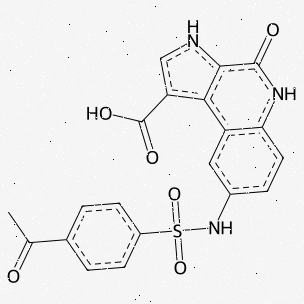 CC(=O)c1ccc(S(=O)(=O)Nc2ccc3[nH]c(=O)c4[nH]cc(C(=O)O)c4c3c2)cc1